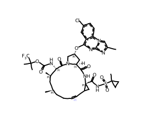 Cc1cn2c(n1)nc(O[C@@H]1C[C@H]3C(=O)N[C@]4(C(=O)NS(=O)(=O)C5(C)CC5)CC4/C=C\CC[C@@H](C)C[C@@H](C)[C@H](NC(=O)OC(C)(C)C(F)(F)F)C(=O)N3C1)c1cc(Cl)ccc12